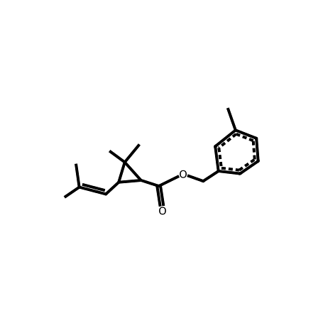 CC(C)=CC1C(C(=O)OCc2cccc(C)c2)C1(C)C